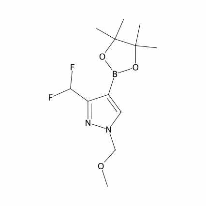 COCn1cc(B2OC(C)(C)C(C)(C)O2)c(C(F)F)n1